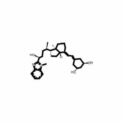 C[C@H](CC[C@H](O)c1nc2ccccc2n1C)[C@H]1CC[C@H]2/C(=C/C=C3C[C@@H](O)C[C@H](O)C3)CCC[C@]12C